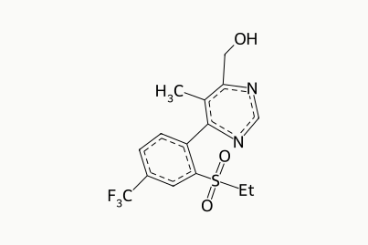 CCS(=O)(=O)c1cc(C(F)(F)F)ccc1-c1ncnc(CO)c1C